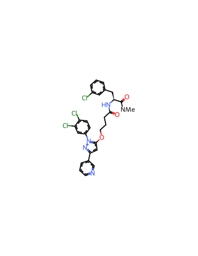 CNC(=O)[C@H](Cc1cccc(Cl)c1)NC(=O)CCCOc1cc(-c2cccnc2)nn1-c1ccc(Cl)c(Cl)c1